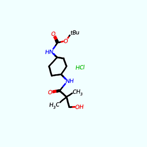 CC(C)(C)OC(=O)NC1CCC(NC(=O)C(C)(C)CO)CC1.Cl